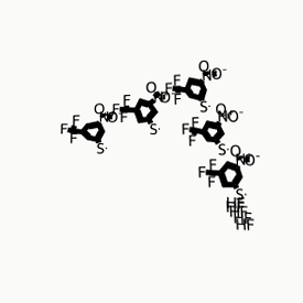 F.F.F.F.F.O=[N+]([O-])c1cc([S])cc(C(F)(F)F)c1.O=[N+]([O-])c1cc([S])cc(C(F)(F)F)c1.O=[N+]([O-])c1cc([S])cc(C(F)(F)F)c1.O=[N+]([O-])c1cc([S])cc(C(F)(F)F)c1.O=[N+]([O-])c1cc([S])cc(C(F)(F)F)c1